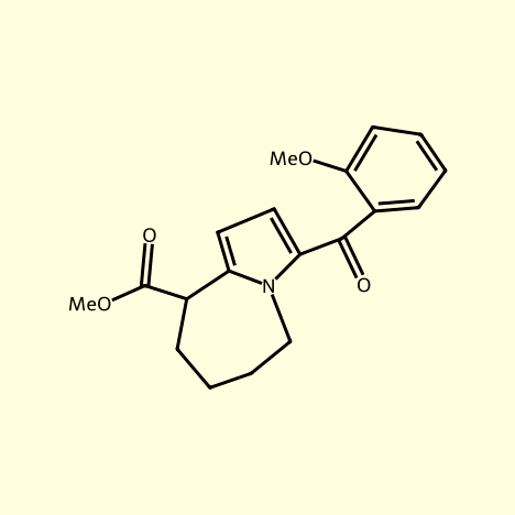 COC(=O)C1CCCCn2c(C(=O)c3ccccc3OC)ccc21